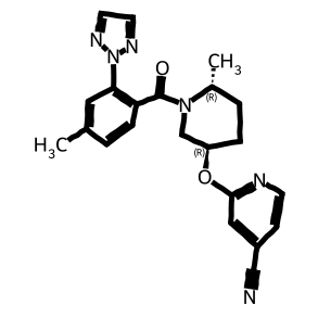 Cc1ccc(C(=O)N2C[C@H](Oc3cc(C#N)ccn3)CC[C@H]2C)c(-n2nccn2)c1